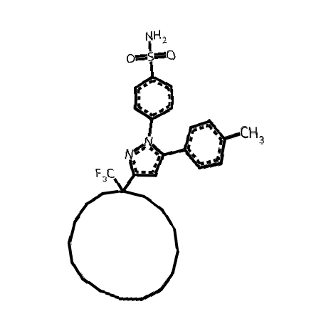 Cc1ccc(-c2cc(C3(C(F)(F)F)CCCCCCCCCCCCCCC3)nn2-c2ccc(S(N)(=O)=O)cc2)cc1